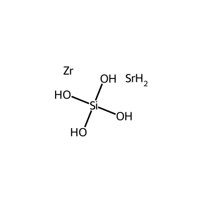 O[Si](O)(O)O.[SrH2].[Zr]